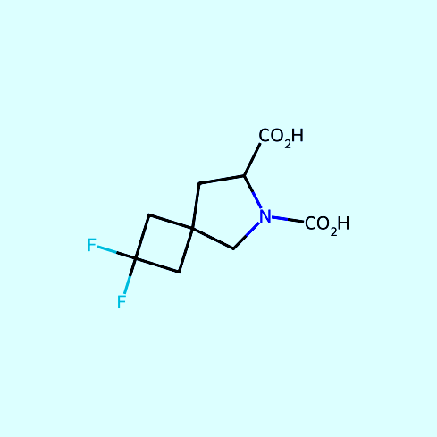 O=C(O)C1CC2(CN1C(=O)O)CC(F)(F)C2